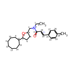 CCN(CC1CCC(C2CCCCCCC2)O1)C(=O)/C=C/c1ccc(C)cc1